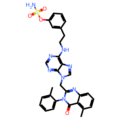 Cc1ccccc1-n1c(Cn2cnc3c(NCCc4cccc(OS(N)(=O)=O)c4)ncnc32)nc2cccc(C)c2c1=O